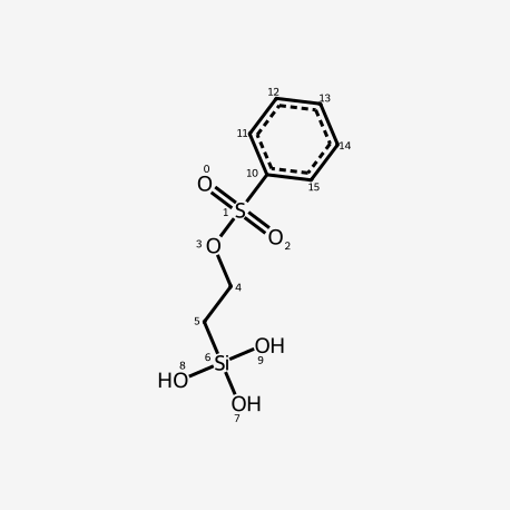 O=S(=O)(OCC[Si](O)(O)O)c1ccccc1